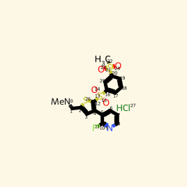 CNCc1cc(-c2cccnc2F)c(S(=O)(=O)c2cccc(S(C)(=O)=O)c2)s1.Cl